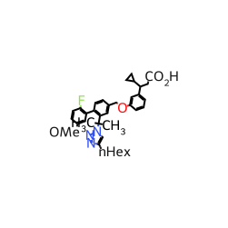 CCCCCCc1cn(C(C)(C)c2cc(COc3cccc(C(CC(=O)O)C4CC4)c3)ccc2-c2cc(OC)ccc2F)nn1